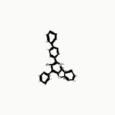 Fc1c(-c2ccc(-c3ccccc3)cc2)nc2c(oc3ccccc32)c1-c1ccccc1